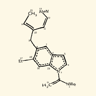 C=C(NC)n1ccc2cc(CC(/C=C\NC)=C/C)c(CC)cc21